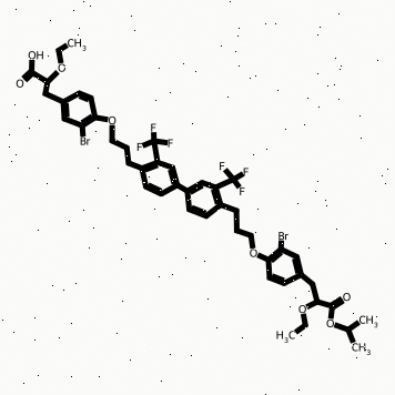 CCOC(Cc1ccc(OCCCc2ccc(-c3ccc(CCCOc4ccc(CC(OCC)C(=O)OC(C)C)cc4Br)c(C(F)(F)F)c3)cc2C(F)(F)F)c(Br)c1)C(=O)O